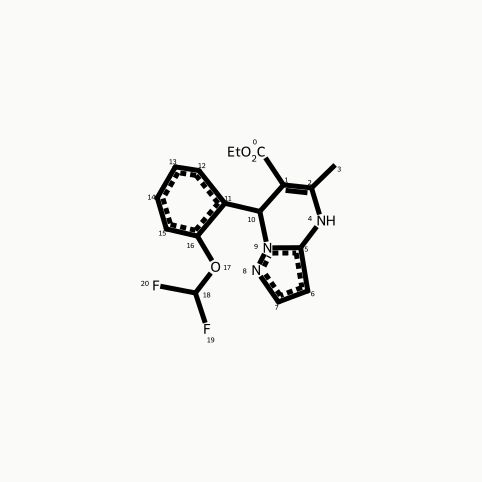 CCOC(=O)C1=C(C)Nc2ccnn2C1c1ccccc1OC(F)F